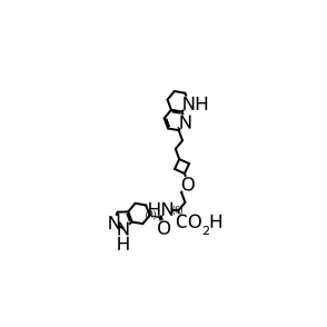 O=C(N[C@@H](CCOC1CC(CCc2ccc3c(n2)NCCC3)C1)C(=O)O)[C@@H]1CCc2cn[nH]c2C1